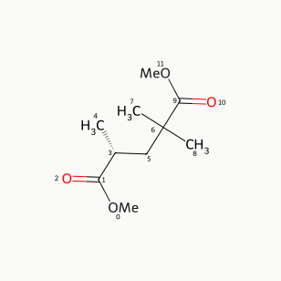 COC(=O)[C@H](C)CC(C)(C)C(=O)OC